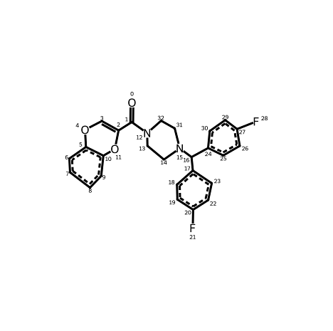 O=C(C1=COc2ccccc2O1)N1CCN(C(c2ccc(F)cc2)c2ccc(F)cc2)CC1